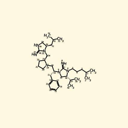 CC(C)CCCN1C(=N)N([C@H](Cc2ccccc2)CN2CCC[C@H]2CN2C(=N)NC[C@H]2CC(C)C)C[C@H]1C(C)C